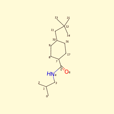 CC(C)CNC(=O)C1CCC(CC(C)(C)C)CC1